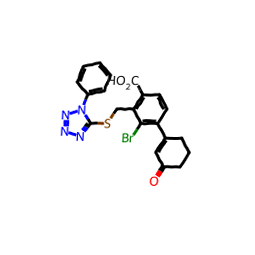 O=C1C=C(c2ccc(C(=O)O)c(CSc3nnnn3-c3ccccc3)c2Br)CCC1